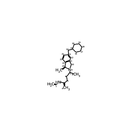 C=CNC(=C)CCC(C)N1Cc2cc(CC3CCCCC3)ccc2C1=C